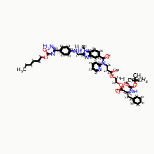 CCCCCCOC(=O)N=C(N)c1ccc(NCc2nc3cc(C(=O)N(CCC(=O)OCCOC(=O)[C@H](Cc4ccccc4)NC(=O)OC(C)(C)C)c4ccccn4)ccc3n2C)cc1